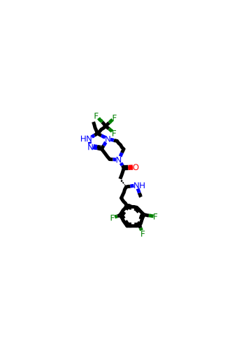 CN[C@@H](CC(=O)N1CCN2C(=NNC2(C)C(F)(F)F)C1)Cc1cc(F)c(F)cc1F